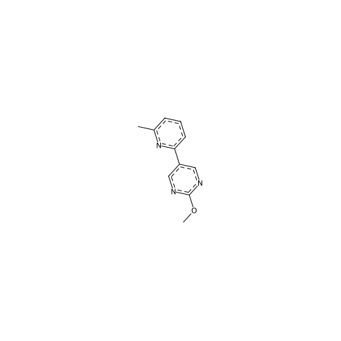 COc1ncc(-c2cccc(C)n2)cn1